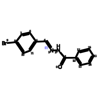 O=C(N/N=C/c1ccc(Br)cc1)c1ccccc1